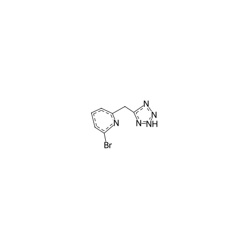 Brc1cccc(Cc2nn[nH]n2)n1